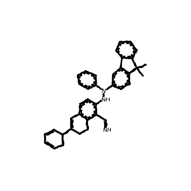 CC1(C)c2ccccc2-c2cc(N(Nc3ccc4c(c3C=N)CCC(C3C=CC=CC3)=C4)c3ccccc3)ccc21